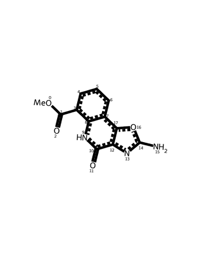 COC(=O)c1cccc2c1[nH]c(=O)c1nc(N)oc12